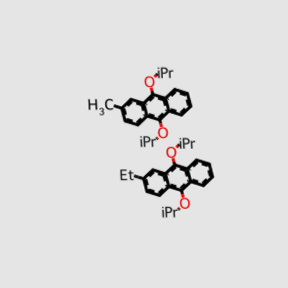 CCc1ccc2c(OC(C)C)c3ccccc3c(OC(C)C)c2c1.Cc1ccc2c(OC(C)C)c3ccccc3c(OC(C)C)c2c1